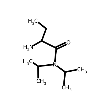 CCC(N)C(=O)N(C(C)C)C(C)C